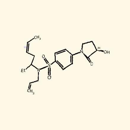 C=CCN(C(CC)C/C=C\C)S(=O)(=O)c1ccc(N2CC[C@@H](O)C2=O)cc1